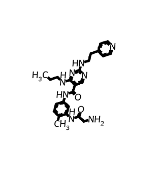 CCCNc1nc(NCCc2ccncc2)ncc1C(=O)Nc1ccc(C)c(NC(=O)CN)c1